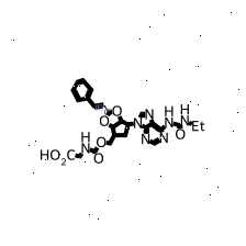 CCNC(=O)Nc1ncnc2c1ncn2C1CC(COC(=O)NCC(=O)O)C2O[C@H](/C=C/c3ccccc3)OC21